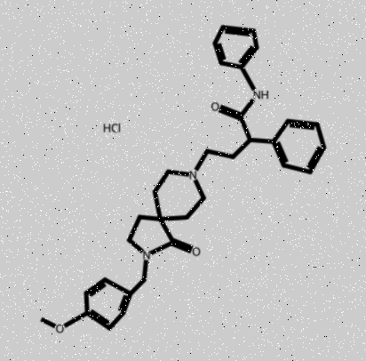 COc1ccc(CN2CCC3(CCN(CCC(C(=O)Nc4ccccc4)c4ccccc4)CC3)C2=O)cc1.Cl